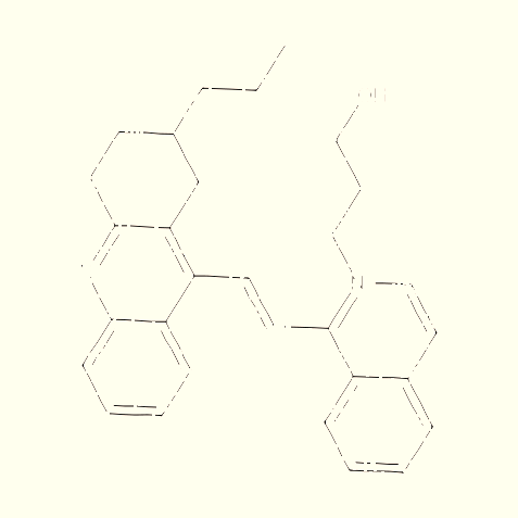 CCCC1CCc2nc3ccccc3c(/C=C/c3c4ccccc4cc[n+]3CCCO)c2C1